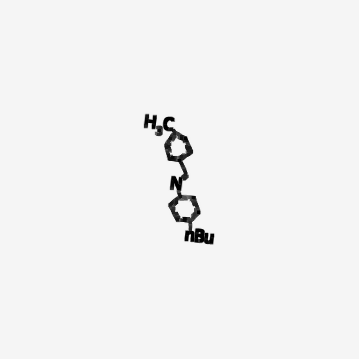 CCCCc1ccc(N=Cc2ccc(C)cc2)cc1